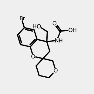 O=C(O)NC1(CO)CC2(CCCOC2)Oc2ccc(Br)cc21